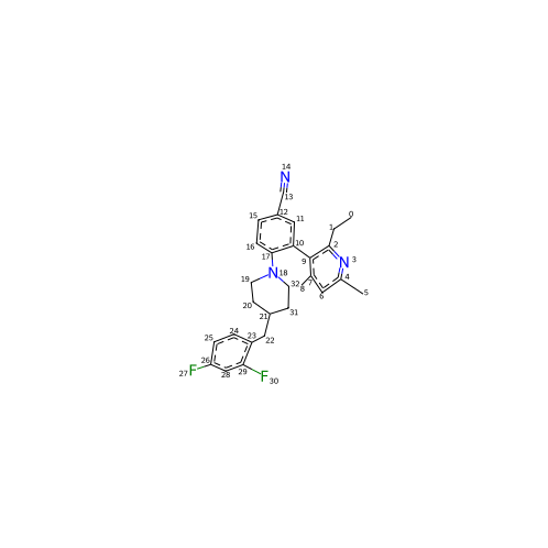 CCc1nc(C)cc(C)c1-c1cc(C#N)ccc1N1CCC(Cc2ccc(F)cc2F)CC1